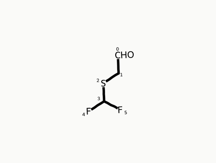 O=CCSC(F)F